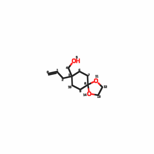 C=CCC1(CO)CCC2(CC1)OCCO2